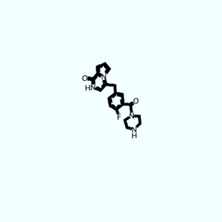 O=C(c1cc(Cc2c[nH]c(=O)c3cccn23)ccc1F)N1CCNCC1